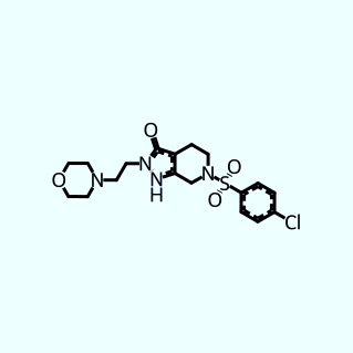 O=c1c2c([nH]n1CCN1CCOCC1)CN(S(=O)(=O)c1ccc(Cl)cc1)CC2